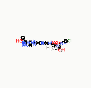 CC(C)C(C(=O)N1C[C@H](O)C[C@H]1C(=O)NCc1ccc(Cl)cc1)c1cc(N2CC3(CC(N4CCC(c5cnc(N6CCN7c8cc(-c9ccccc9O)nnc8NC[C@H]7C6)nc5)CC4)C3)C2)no1